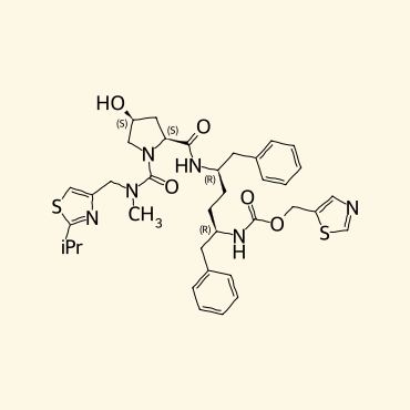 CC(C)c1nc(CN(C)C(=O)N2C[C@@H](O)C[C@H]2C(=O)N[C@H](CC[C@H](Cc2ccccc2)NC(=O)OCc2cncs2)Cc2ccccc2)cs1